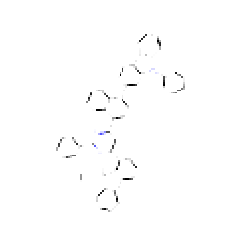 CC1(C)c2ccccc2-c2cccc(-c3cc(-c4ccc(-c5ccc6c(c5)N(c5ccccc5)C5C=CC=CC65)c5ccccc45)nc(-c4ccccc4)n3)c21